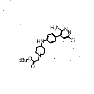 CC(C)(C)OC(=O)CN1CCC(Nc2ccc(-c3cc(Cl)nnc3N)cc2)CC1